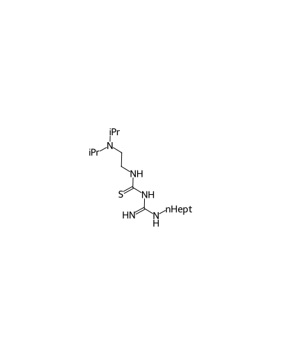 CCCCCCCNC(=N)NC(=S)NCCN(C(C)C)C(C)C